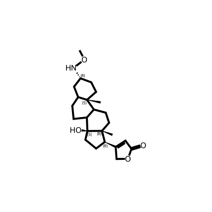 CON[C@@H]1CC[C@@]2(C)C(CCC3C2CC[C@]2(C)[C@@H](C4=CC(=O)OC4)CC[C@]32O)C1